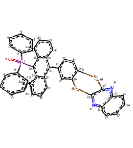 O=P(c1ccccc1)(c1ccccc1)c1c2ccccc2c(-c2ccc3c(c2)Sc2nc4ccccc4nc2S3)c2ccccc12